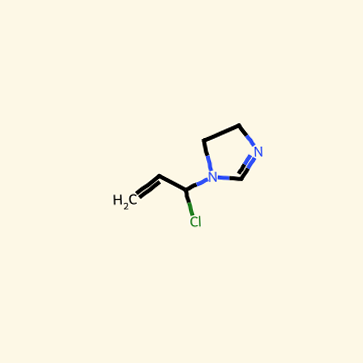 C=CC(Cl)N1C=NCC1